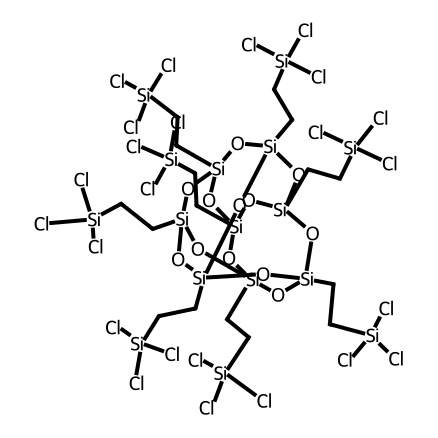 Cl[Si](Cl)(Cl)CC[Si]12O[Si]3(CC[Si](Cl)(Cl)Cl)O[Si]4(CC[Si](Cl)(Cl)Cl)O[Si](CC[Si](Cl)(Cl)Cl)(O1)O[Si]1(CC[Si](Cl)(Cl)Cl)O[Si](CC[Si](Cl)(Cl)Cl)(O2)O[Si](CC[Si](Cl)(Cl)Cl)(O3)O[Si](CC[Si](Cl)(Cl)Cl)(O4)O1